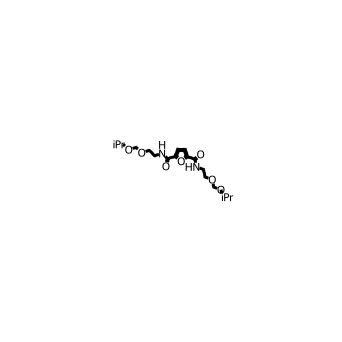 CC(C)OCOCCNC(=O)c1ccc(C(=O)NCCOCOC(C)C)o1